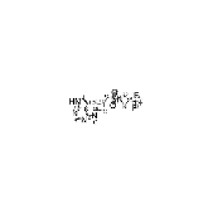 CN(c1ncnc2[nH]ccc12)[C@H]1C[C@H](CS(=O)(=O)N2CC(C(F)(F)F)C2)C1